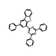 c1ccc(-c2cc(-c3nc(-c4ccccc4)nc(-c4ccccc4)n3)c3sc4ccccc4c3c2)cc1